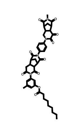 CCCCCCCCC(=O)Oc1cc(C)cc(N2C(=O)CC3C4CC(C(=O)N(c5ccc(N6CC7C8CC(C(=O)N(C)C8=O)C7C(=O)C6=O)cc5)C4=O)C3C2=O)c1